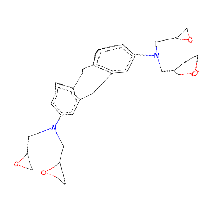 c1cc2c(cc1N(CC1CO1)CC1CO1)Cc1cc(N(CC3CO3)CC3CO3)ccc1C2